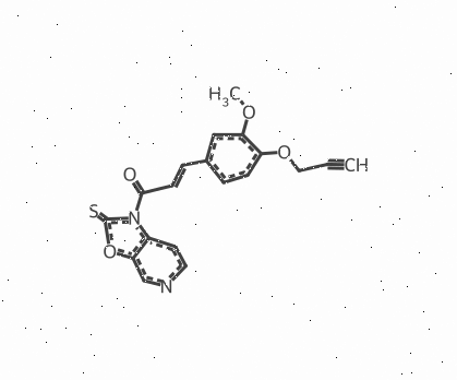 C#CCOc1ccc(/C=C/C(=O)n2c(=S)oc3cnccc32)cc1OC